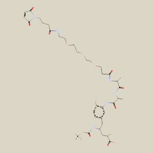 CC(CC(Cc1ccc(O)c(NC(=O)C(C)NC(=O)C(C)NC(=O)CCOCCOCCOCCNC(=O)CCCN2C(=O)C=CC2=O)c1)NC(=O)OC(C)(C)C)C(=O)O